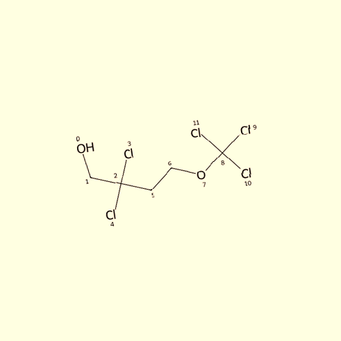 OCC(Cl)(Cl)CCOC(Cl)(Cl)Cl